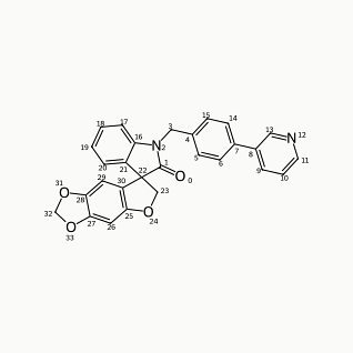 O=C1N(Cc2ccc(-c3cccnc3)cc2)c2ccccc2C12COc1cc3c(cc12)OCO3